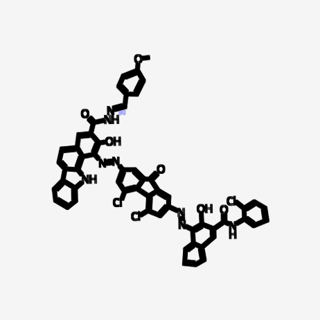 COc1ccc(/C=N/NC(=O)c2cc3ccc4c5ccccc5[nH]c4c3c(N=Nc3cc(Cl)c4c(c3)C(=O)c3cc(N=Nc5c(O)c(C(=O)Nc6ccccc6Cl)cc6ccccc56)cc(Cl)c3-4)c2O)cc1